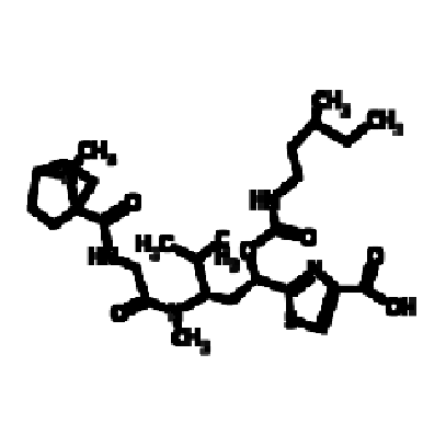 CC[C@H](C)CCNC(=O)O[C@H](C[C@H](C(C)C)N(C)C(=O)CNC(=O)C12CCC(CC1)N2C)c1nc(C(=O)O)cs1